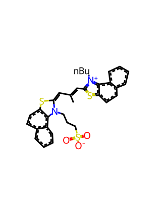 CCCC[n+]1c(/C=C(C)/C=C2/Sc3ccc4ccccc4c3N2CCCS(=O)(=O)[O-])sc2ccc3ccccc3c21